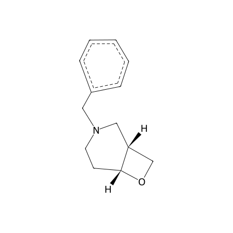 c1ccc(CN2CC[C@H]3OC[C@H]3C2)cc1